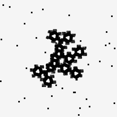 c1ccc(-c2ccc(-n3c4cc(N(c5ccccc5)c5ccccc5)sc4c4sc5c6sc(N(c7ccccc7)c7ccccc7)cc6n(-c6cccc(-c7ccccc7)c6)c5c43)cc2)cc1